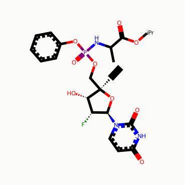 C#C[C@]1(COP(=O)(NC(C)C(=O)OC(C)C)Oc2ccccc2)O[C@@H](n2ccc(=O)[nH]c2=O)[C@H](F)[C@@H]1O